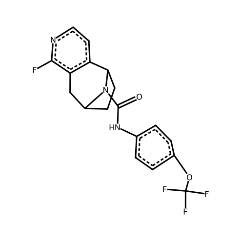 O=C(Nc1ccc(OC(F)(F)F)cc1)N1C2CCC1c1ccnc(F)c1C2